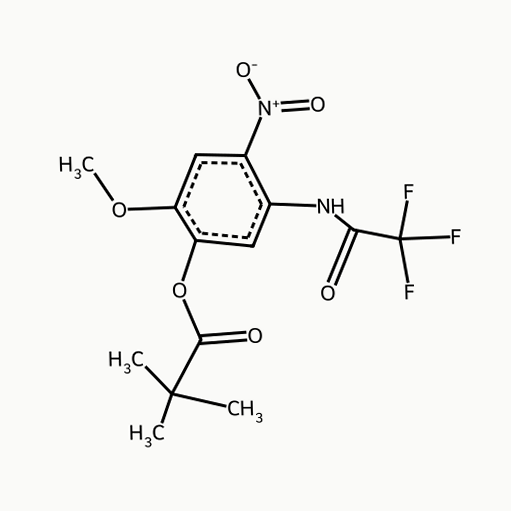 COc1cc([N+](=O)[O-])c(NC(=O)C(F)(F)F)cc1OC(=O)C(C)(C)C